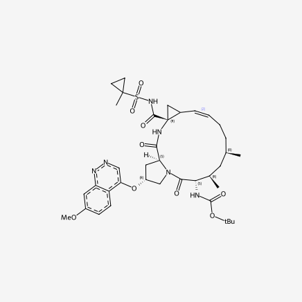 COc1ccc2c(O[C@@H]3C[C@H]4C(=O)N[C@]5(C(=O)NS(=O)(=O)C6(C)CC6)CC5/C=C\CC[C@@H](C)C[C@@H](C)[C@H](NC(=O)OC(C)(C)C)C(=O)N4C3)cnnc2c1